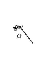 C=CC(=O)OCC[N+](C)(C)CCCCCCCCCCCCCCCCCC.[Cl-]